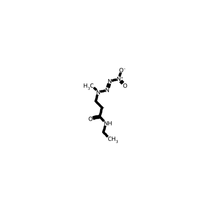 CCNC(=O)[CH]CN(C)N=N[N+](=O)[O-]